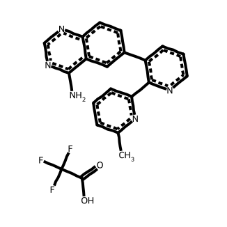 Cc1cccc(-c2ncccc2-c2ccc3ncnc(N)c3c2)n1.O=C(O)C(F)(F)F